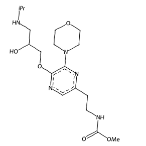 COC(=O)NCCc1cnc(OCC(O)CNC(C)C)c(N2CCOCC2)n1